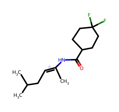 C/C(=C\CC(C)C)NC(=O)C1CCC(F)(F)CC1